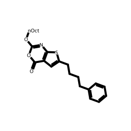 CCCCCCCCOc1nc2sc(CCCCc3ccccc3)cc2c(=O)o1